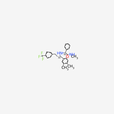 CNC(=O)[C@@H](N[C@@H](CCc1ccc(C(F)(F)F)cc1)c1ccc(C)c(C)c1)c1ccccc1